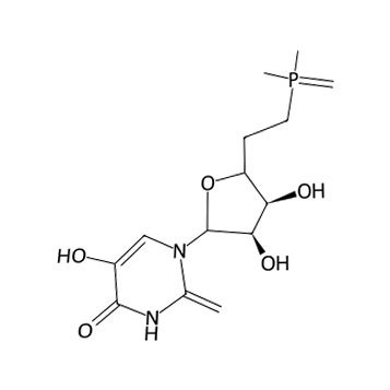 C=C1NC(=O)C(O)=CN1C1OC(CCP(=C)(C)C)[C@@H](O)[C@H]1O